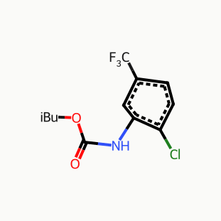 C[CH]C(C)OC(=O)Nc1cc(C(F)(F)F)ccc1Cl